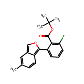 Cc1ccc2c(-c3cccc(F)c3C(=O)OC(C)(C)C)occ2c1